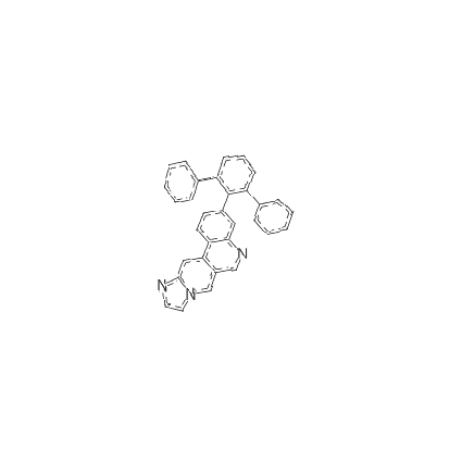 c1ccc(-c2cccc(-c3ccccc3)c2-c2ccc3c(c2)ncc2cn4ccnc4cc23)cc1